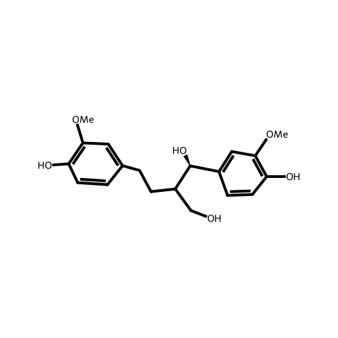 COc1cc(CCC(CO)[C@@H](O)c2ccc(O)c(OC)c2)ccc1O